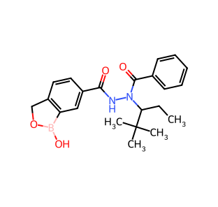 CCC(N(NC(=O)c1ccc2c(c1)B(O)OC2)C(=O)c1ccccc1)C(C)(C)C